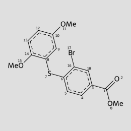 COC(=O)c1ccc(Sc2cc(OC)ccc2OC)c(Br)c1